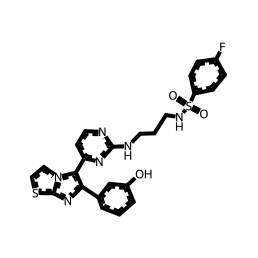 O=S(=O)(NCCCNc1nccc(-c2c(-c3cccc(O)c3)nc3sccn23)n1)c1ccc(F)cc1